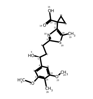 COc1cc([C@@H](O)CCc2nc(C3(C(=O)O)CC3)c(C)s2)cc(OC)c1C